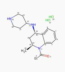 CCC(=O)N1c2ccccc2[C@H](NC2CCNCC2)C[C@@H]1C.Cl.Cl